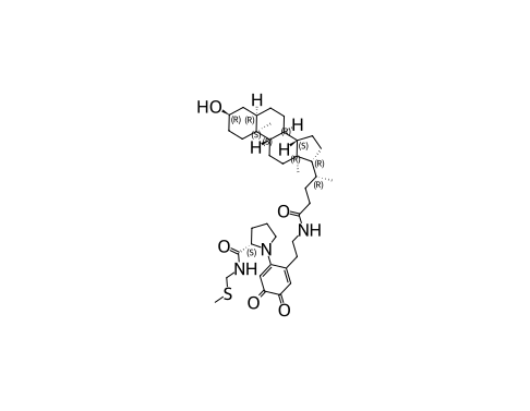 CSCNC(=O)[C@@H]1CCCN1C1=CC(=O)C(=O)C=C1CCNC(=O)CC[C@@H](C)[C@H]1CC[C@H]2[C@@H]3CC[C@@H]4C[C@H](O)CC[C@]4(C)[C@H]3CC[C@]12C